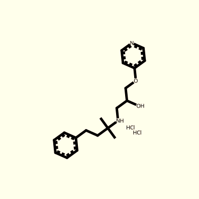 CC(C)(CCc1ccccc1)NCC(O)COc1ccncc1.Cl.Cl